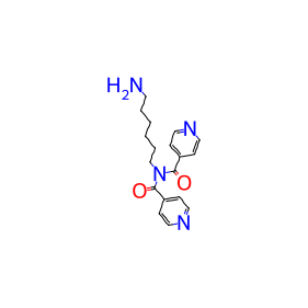 NCCCCCCN(C(=O)c1ccncc1)C(=O)c1ccncc1